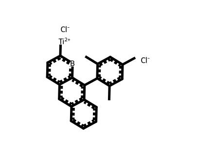 Cc1cc(C)c(-c2c3b[c]([Ti+2])ccc3cc3ccccc23)c(C)c1.[Cl-].[Cl-]